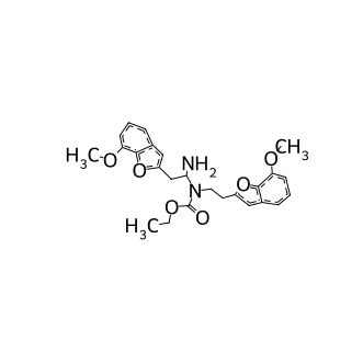 CCOC(=O)N(CCc1cc2cccc(OC)c2o1)C(N)Cc1cc2cccc(OC)c2o1